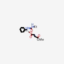 CCNC(=O)N[C@H](COC(=O)/C=C/C(=O)OC)c1ccccc1